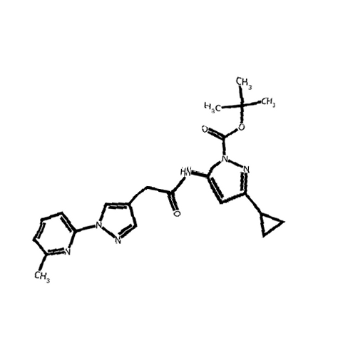 Cc1cccc(-n2cc(CC(=O)Nc3cc(C4CC4)nn3C(=O)OC(C)(C)C)cn2)n1